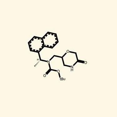 C[C@H](c1cccc2ccccc12)N(CC1CNC(=O)CO1)C(=O)OC(C)(C)C